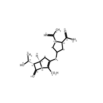 CC(=N)N1CC(SC2=C(C(=O)O)N3C(=O)[C@H](C(C)O)[C@H]3C2)CC1C(N)=O